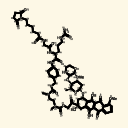 COc1cccc2c1C(=O)c1c(O)c3c(c(O)c1C2=O)C[C@@](O)(C(=O)COC(=O)N(C)CCN(C)C(=O)OCc1ccc(NC(=O)[C@H](CCCNC(N)=O)NC(=O)CNC(=O)CCCCCN2C(=O)CCC2=O)cc1)C[C@@H]3O[C@H]1CC[C@H](O[C@H]2NCCO[C@@H]2OC)[C@H](C)O1